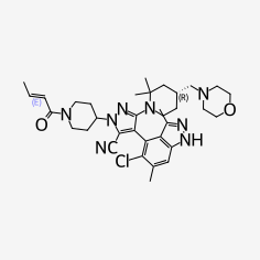 C/C=C/C(=O)N1CCC(n2nc(N3CC[C@@H](CN4CCOCC4)CC3(C)C)c(-c3c(Cl)c(C)cc4[nH]nc(C)c34)c2C#N)CC1